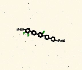 CCCCCCc1ccc(-c2ccc(-c3ccc(C4=CCC(C5CCC(CCCCC)CC5)CC4)c(F)c3)cc2)c(F)c1F